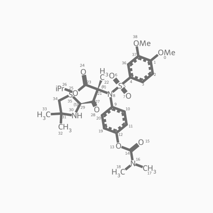 COc1ccc(S(=O)(=O)N(c2ccc(OC(=O)N(C)C)cc2)[C@@](C)(C(=O)OC(C)C)C(=O)[C@H]2NC(C)(C)CS2)cc1OC